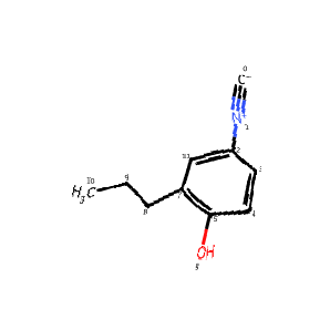 [C-]#[N+]c1ccc(O)c(CCC)c1